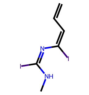 C=C/C=C(I)\N=C(\I)NC